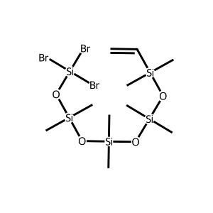 C=C[Si](C)(C)O[Si](C)(C)O[Si](C)(C)O[Si](C)(C)O[Si](Br)(Br)Br